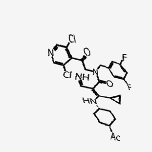 CC(=O)[C@H]1CC[C@H](N/C(=C(\C=N)C(=O)N(CC(=O)c2c(Cl)cncc2Cl)Cc2cc(F)cc(F)c2)C2CC2)CC1